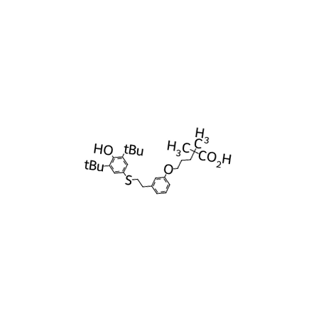 CC(C)(CCCOc1cccc(CCSc2cc(C(C)(C)C)c(O)c(C(C)(C)C)c2)c1)C(=O)O